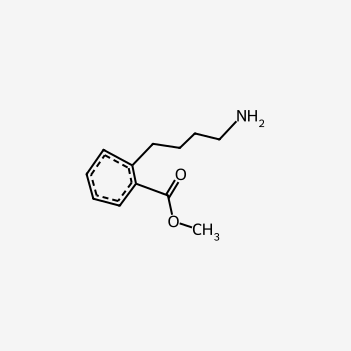 COC(=O)c1ccccc1CCCCN